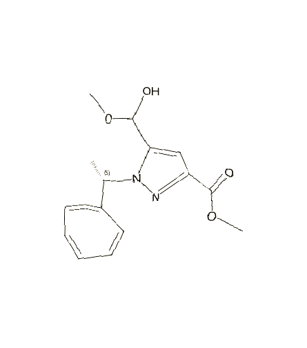 COC(=O)c1cc(C(O)OC)n([C@@H](C)c2ccccc2)n1